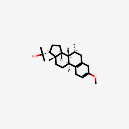 COC1=CCC2=C(C1)C[C@@H](C)[C@@H]1[C@@H]2CC[C@@]2(C)[C@@H]1CC[C@H]2C(C)(C)O